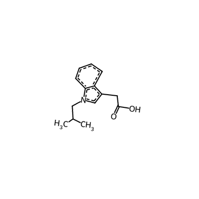 CC(C)Cn1cc(CC(=O)O)c2ccccc21